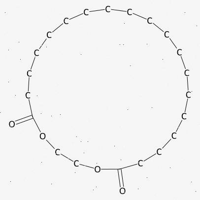 O=C1CCCCCCCCCCCCCCCCCC(=O)OCCO1